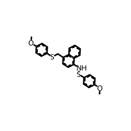 COc1ccc(SCc2ccc(NSc3ccc(OC)cc3)c3ccccc23)cc1